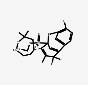 CC1=C([C@@H]2CCNOC(C)(C)C2)C2(S(=O)(=O)OCC(C)(C)C)C=C(c3ccc(F)c(c3)S2)C1(F)F